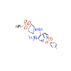 CCCS(=O)(=O)OC1CCN(Nc2c(N)cnc3c2ccn3S(=O)(=O)c2ccc(C)cc2)CC1